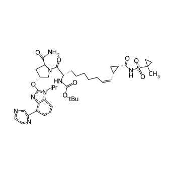 CC(C)n1c(O[C@@H]2C[C@@H](C(N)=O)N(C(=O)[C@H](CCCCC/C=C\[C@@H]3C[C@@H]3C(=O)NS(=O)(=O)C3(C)CC3)NC(=O)OC(C)(C)C)C2)nc2c(-c3cnccn3)cccc21